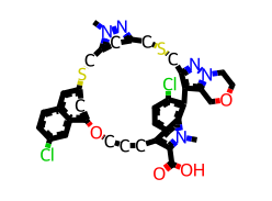 Cn1nc2cc1CSc1cc(c3cc(Cl)ccc3c1)OCCCc1c(C(=O)O)n(C)c3c(c(Cl)ccc13)-c1c(nn3c1COCC3)CSC2